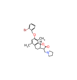 Cc1cc(OCc2ccccc2Br)c(C)c2c1CCC1C(CN3CCCC3)C(=O)O[C@@H]21